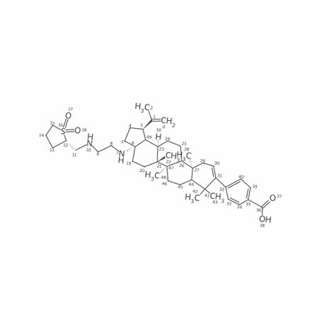 C=C(C)[C@@H]1CC[C@]2(NCCNC[C@@H]3CCCS3(=O)=O)CC[C@]3(C)[C@H](CCC4[C@@]5(C)CC=C(c6ccc(C(=O)O)cc6)C(C)(C)C5CC[C@]43C)C12